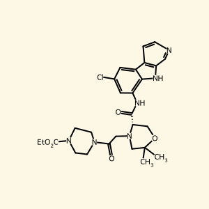 CCOC(=O)N1CCN(C(=O)CN2CC(C)(C)OC[C@H]2C(=O)Nc2cc(Cl)cc3c2[nH]c2cnccc23)CC1